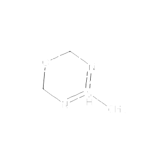 C[SH]1=NCOCN=1